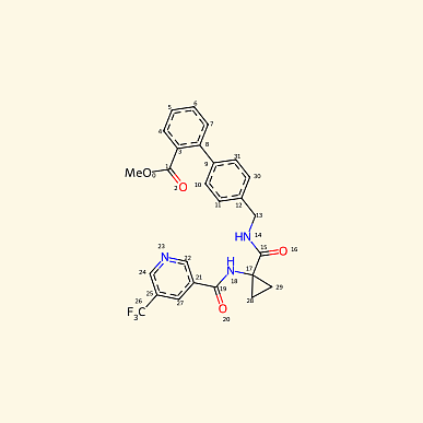 COC(=O)c1ccccc1-c1ccc(CNC(=O)C2(NC(=O)c3cncc(C(F)(F)F)c3)CC2)cc1